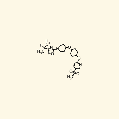 CC(C)(F)c1noc(N2CCC(OC3CCC(Oc4ccc(S(C)(=O)=O)cn4)CC3)CC2)n1